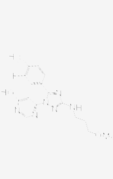 COCCCNc1nc(-c2ccc(C)c(F)c2)n(-c2cc(O)ncn2)n1